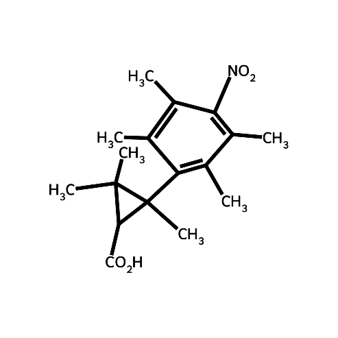 Cc1c(C)c(C2(C)C(C(=O)O)C2(C)C)c(C)c(C)c1[N+](=O)[O-]